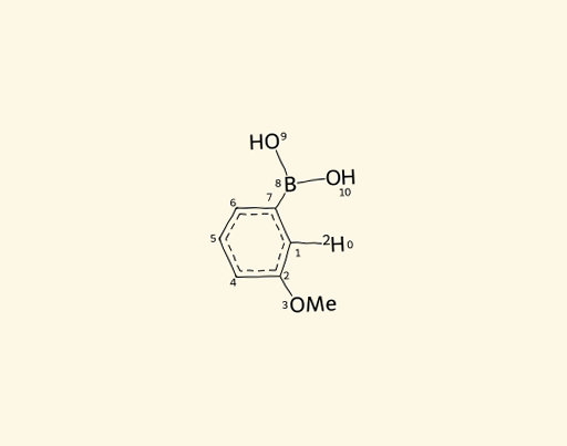 [2H]c1c(OC)cccc1B(O)O